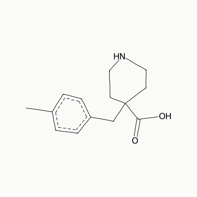 Cc1ccc(CC2(C(=O)O)CCNCC2)cc1